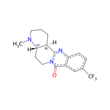 CN1CCC[C@H]2c3nc4ccc(C(F)(F)F)cc4c(=O)n3CC[C@@H]21